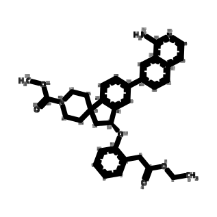 CCOC(=O)Cc1ccccc1O[C@H]1CC2(CCN(C(=O)OC)CC2)c2ccc(-c3ccc4ccnc(N)c4c3)cc21